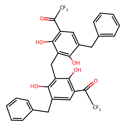 O=C(c1cc(Cc2ccccc2)c(O)c(Cc2c(O)c(Cc3ccccc3)cc(C(=O)C(F)(F)F)c2O)c1O)C(F)(F)F